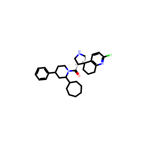 O=C([C@@H]1CNC[C@]12CCCc1nc(Cl)ccc12)N1CCC(c2ccccc2)CC1C1CCCCCC1